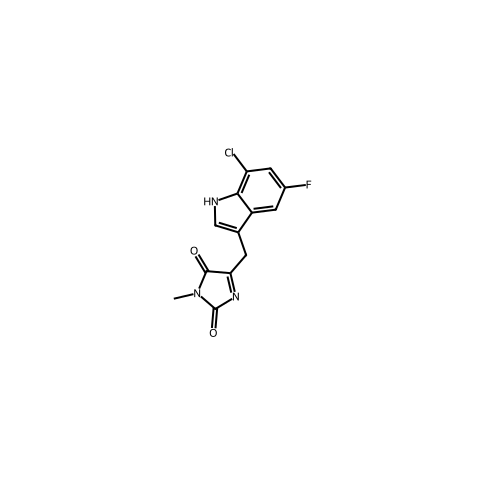 CN1C(=O)N=C(Cc2c[nH]c3c(Cl)cc(F)cc23)C1=O